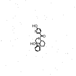 O=C(c1ccc(O)nc1)N1CC[C@@](O)(c2ccccc2)[C@@H]2CCCCC21